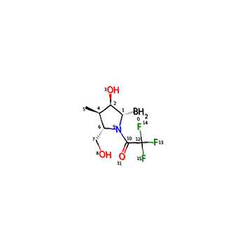 B[C@H]1[C@H](O)[C@H](C)[C@@H](CO)N1C(=O)C(F)(F)F